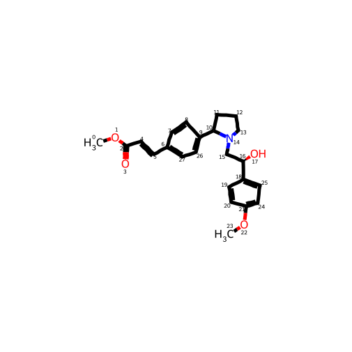 COC(=O)/C=C/c1ccc(C2CCCN2C[C@@H](O)c2ccc(OC)cc2)cc1